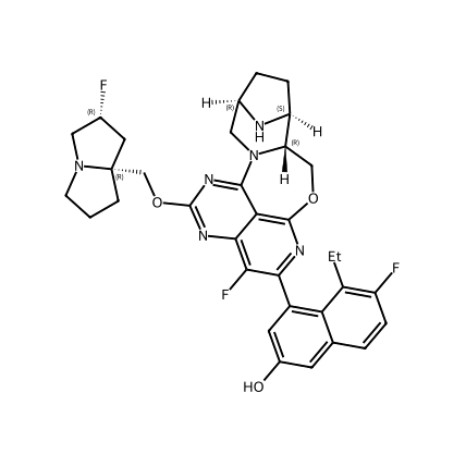 CCc1c(F)ccc2cc(O)cc(-c3nc4c5c(nc(OC[C@]67CCCN6C[C@H](F)C7)nc5c3F)N3C[C@H]5CC[C@H](N5)[C@@H]3CO4)c12